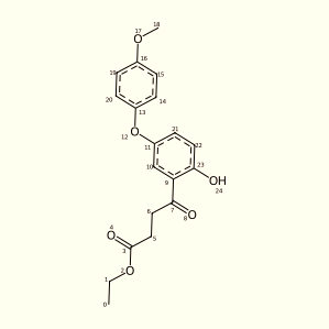 CCOC(=O)CCC(=O)c1cc(Oc2ccc(OC)cc2)ccc1O